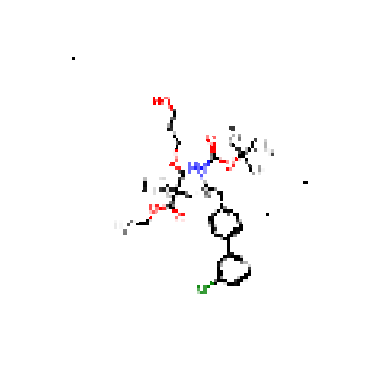 CCOC(=O)[C@](C)(COCCCO)C[C@@H](Cc1ccc(-c2cccc(Cl)c2)cc1)NC(=O)OC(C)(C)C